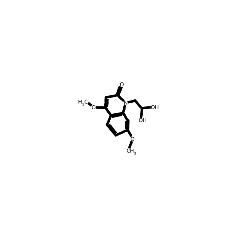 COc1ccc2c(OC)cc(=O)n(CC(O)O)c2c1